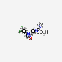 O=C(O)N(CCN1CCCC1)c1cccc(Cn2nc(-c3ccc(F)c(F)c3)ccc2=O)c1